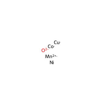 [Co].[Cu].[Mn+2].[Ni].[O-2]